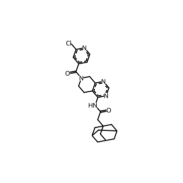 O=C(CC12CC3CC(CC(C3)C1)C2)Nc1ncnc2c1CCN(C(=O)c1ccnc(Cl)c1)C2